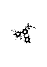 CCS(=O)(=O)Nc1ccc(Oc2ccc(F)cc2F)c(-c2cn(C)c(=O)c(I)c2OC)c1